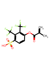 C=C(C)C(=O)Oc1ccc(S(=O)(=O)O)c(C(F)(F)F)c1C(F)(F)F